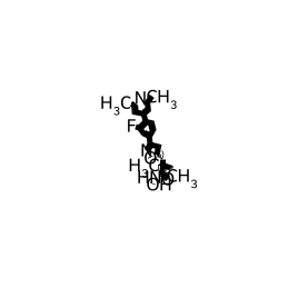 CC[C@](C)(C[C@H]1CC(c2ccc(-c3cc(C)nc(C)c3)c(F)c2)=NO1)C(=O)NO